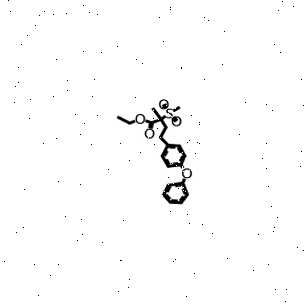 CCOC(=O)C(C)(CCc1ccc(Oc2ccccc2)cc1)S(C)(=O)=O